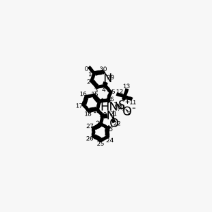 Cc1ccc(CC(N[S@@+]([O-])C(C)(C)C)c2ccccc2-c2noc3ccccc23)nc1